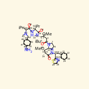 CC[C@H](C)[C@@H]([C@@H](CC(=O)N1CCCC1[C@H](OC)[C@@H](C)C(=O)N[C@@H](Cc1ccccc1)c1nccs1)OC)N(C)C(=O)C(NC(=O)C(C(C)C)N(C)Cc1ccc(N)cc1)C(C)C